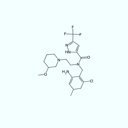 COC1CCCN(CCN(CC2=C(Cl)CC(C)C=C2N)C(=O)c2cc(C(F)(F)F)n[nH]2)C1